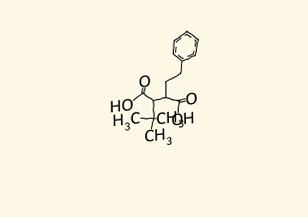 CC(C)(C)C(C(=O)O)C(CCc1ccccc1)C(=O)O